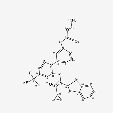 CCOC(=O)Cc1cncc(-c2ccc(C(F)(F)F)cc2CN(C(=O)C2CC2)C2Cc3ccccc3C2)c1